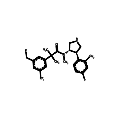 Cc1cc(F)ccc1[C@@H]1CNC[C@H]1N(C)C(=O)C(C)(C)c1cc(CF)cc(C(F)(F)F)c1